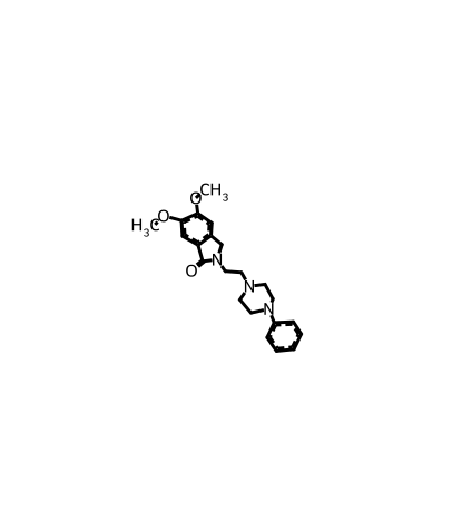 COc1cc2c(cc1OC)C(=O)N(CCN1CCN(c3ccccc3)CC1)C2